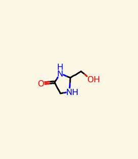 O=C1CNC(CO)N1